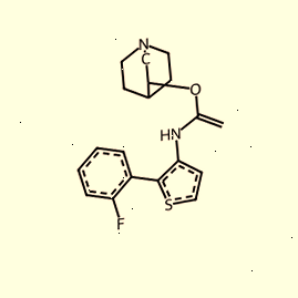 C=C(Nc1ccsc1-c1ccccc1F)OC1CN2CCC1CC2